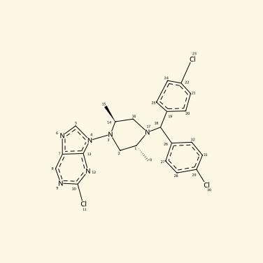 C[C@@H]1CN(n2cnc3cnc(Cl)nc32)[C@@H](C)CN1C(c1ccc(Cl)cc1)c1ccc(Cl)cc1